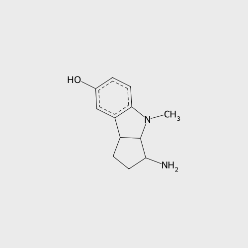 CN1c2ccc(O)cc2C2CCC(N)C21